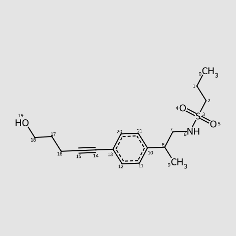 CCCS(=O)(=O)NCC(C)c1ccc(C#CCCCO)cc1